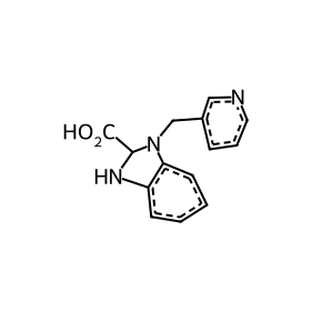 O=C(O)C1Nc2ccccc2N1Cc1cccnc1